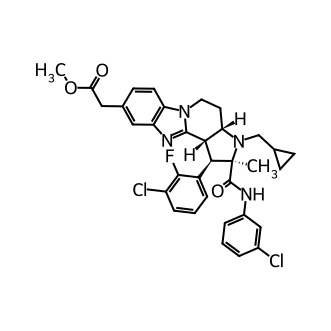 COC(=O)Cc1ccc2c(c1)nc1n2CC[C@H]2[C@@H]1[C@H](c1cccc(Cl)c1F)[C@](C)(C(=O)Nc1cccc(Cl)c1)N2CC1CC1